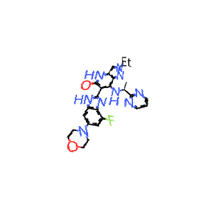 CCn1cc2[nH]c(=O)c(-c3nc4c(F)cc(N5CCOCC5)cc4[nH]3)c(N[C@@H](C)c3ncccn3)c2n1